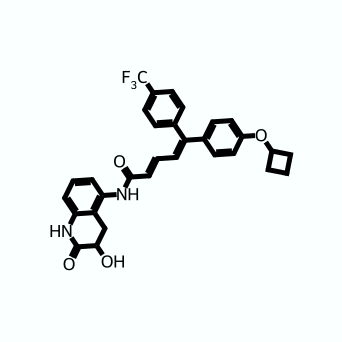 O=C(C=CC=C(c1ccc(OC2CCC2)cc1)c1ccc(C(F)(F)F)cc1)Nc1cccc2c1CC(O)C(=O)N2